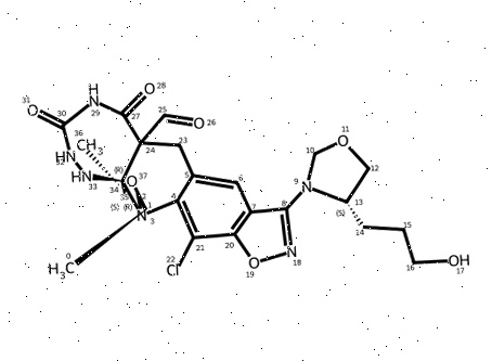 C[C@@H]1CN2c3c(cc4c(N5COC[C@@H]5CCCO)noc4c3Cl)CC3(C=O)C(=O)NC(=O)NN[C@]23[C@H](C)O1